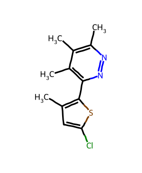 Cc1cc(Cl)sc1-c1nnc(C)c(C)c1C